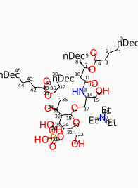 CCCCCCCCCCCCCC(=O)O[C@H](CCCCCCCCCCC)CC(=O)N[C@@H](CO)CO[C@@H]1O[C@H](CO)[C@@H](OP(=O)(O)O)[C@H](O)[C@H]1C(=O)C[C@@H](CCCCCCCCCCC)OC(=O)CCCCCCCCCCCCC.CCN(CC)CC